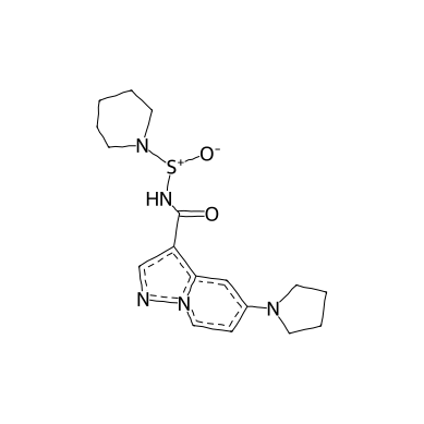 O=C(N[S+]([O-])N1CCCCC1)c1cnn2ccc(N3CCCC3)cc12